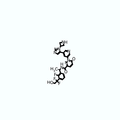 C[C@@H](NC(=O)c1ccc(=O)n(-c2cncc(-c3cnnn3C3CNC3)c2)n1)c1cccc(C(F)(F)CO)c1F